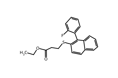 CCOC(=O)CCSc1ccc2ccccc2c1-c1ccccc1F